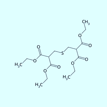 CCOC(=O)C(CSCC(C(=O)OCC)C(=O)OCC)C(=O)OCC